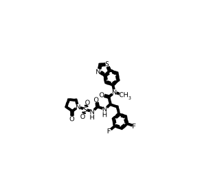 CN(C(=O)C(Cc1cc(F)cc(F)c1)NC(=O)NS(=O)(=O)N1CCCC1=O)c1ccc2scnc2c1